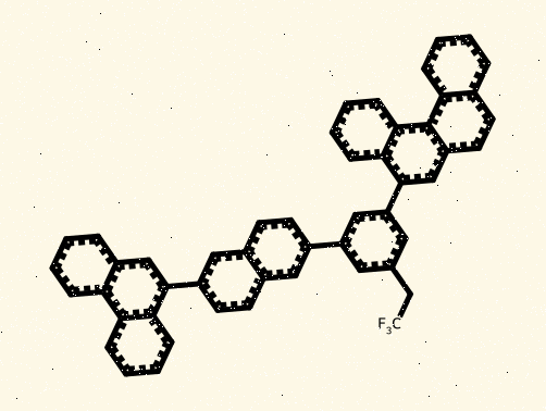 FC(F)(F)Cc1cc(-c2ccc3cc(-c4cc5ccccc5c5ccccc45)ccc3c2)cc(-c2cc3ccc4ccccc4c3c3ccccc23)c1